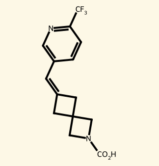 O=C(O)N1CC2(CC(=Cc3ccc(C(F)(F)F)nc3)C2)C1